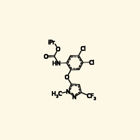 CC(C)OC(=O)Nc1cc(Cl)c(Cl)cc1Oc1cc(C(F)(F)F)nn1C